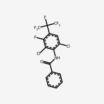 O=C(Nc1c(Cl)cc(C(F)(C(F)(F)F)C(F)(F)F)c(F)c1Cl)c1ccccc1